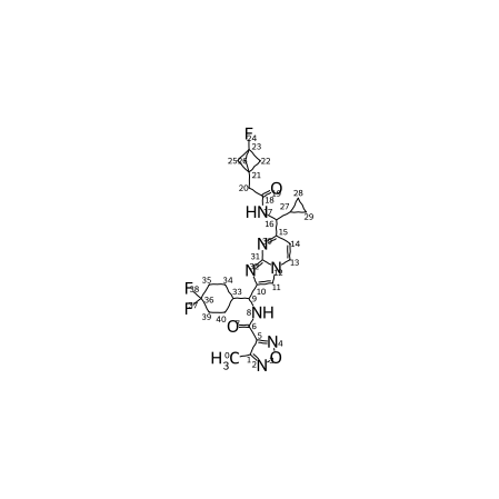 Cc1nonc1C(=O)NC(c1cn2ccc(C(NC(=O)CC34CC(F)(C3)C4)C3CC3)nc2n1)C1CCC(F)(F)CC1